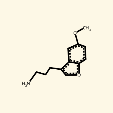 COc1ccc2occ(CCCN)c2c1